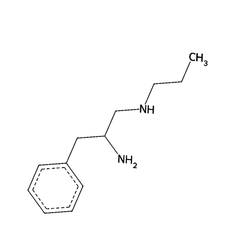 CCCNCC(N)Cc1ccccc1